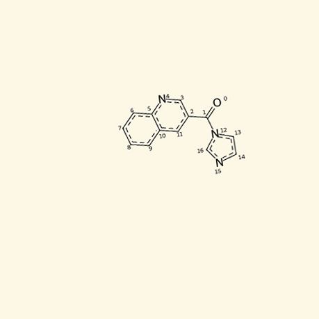 O=C(c1cnc2ccccc2c1)n1ccnc1